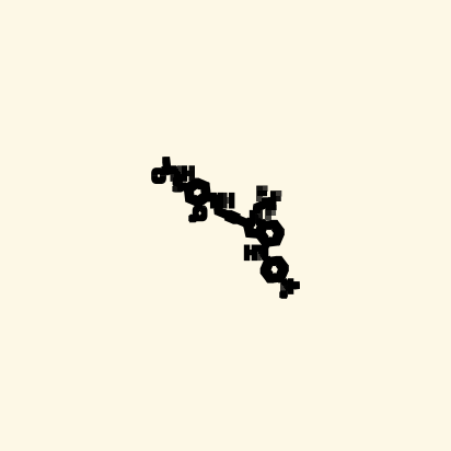 COc1cc(SNC(C)=O)ccc1NCC#Cc1cc2c(Nc3ccc(N(C)C)cc3)cccc2n1CC(F)(F)F